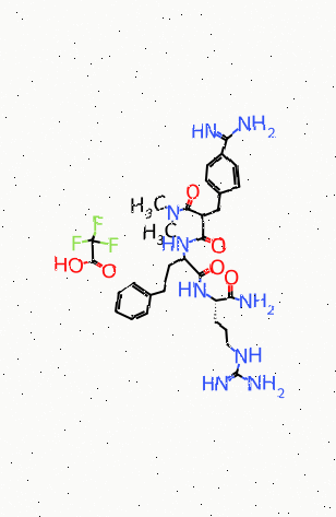 CN(C)C(=O)C(Cc1ccc(C(=N)N)cc1)C(=O)NC(CCc1ccccc1)C(=O)N[C@@H](CCCNC(=N)N)C(N)=O.O=C(O)C(F)(F)F